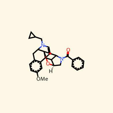 COc1ccc2c(c1)C13C=CN(CC4CC4)C(C2)C12CCC1C3[C@@H](CN1C(=O)c1ccccc1)O2